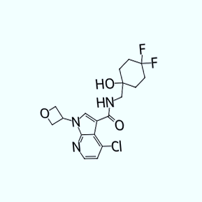 O=C(NCC1(O)CCC(F)(F)CC1)c1cn(C2COC2)c2nccc(Cl)c12